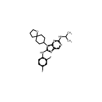 CC(C)Nc1ncc2nc(Nc3ccc(F)cc3F)n(C3CCC4(CCCO4)CC3)c2n1